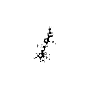 C#Cc1nc(C2=C(C)[C@@H](OC(=C)CCC(C)(C)C(=C)[C@H](C)[C@@H](O)C(C)C)CC2)cs1